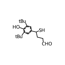 CC(C)(C)c1cc(C(S)CCC=O)cc(C(C)(C)C)c1O